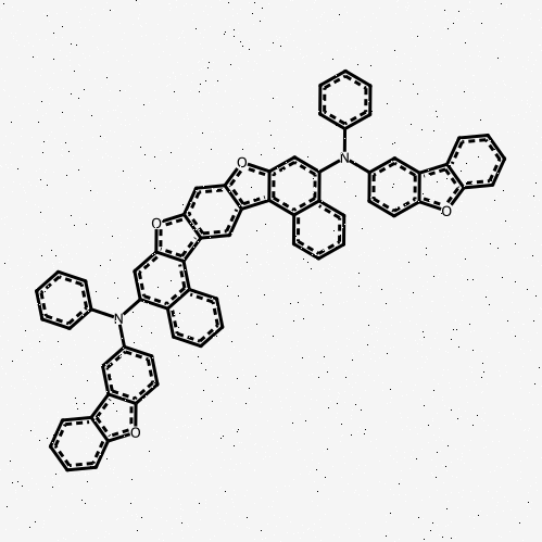 c1ccc(N(c2ccc3oc4ccccc4c3c2)c2cc3oc4cc5oc6cc(N(c7ccccc7)c7ccc8oc9ccccc9c8c7)c7ccccc7c6c5cc4c3c3ccccc23)cc1